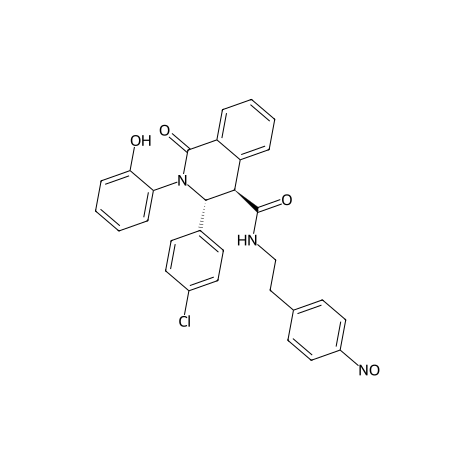 O=Nc1ccc(CCNC(=O)[C@@H]2c3ccccc3C(=O)N(c3ccccc3O)[C@H]2c2ccc(Cl)cc2)cc1